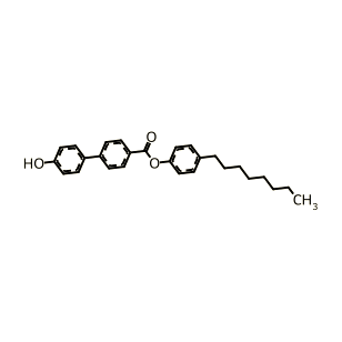 CCCCCCCCc1ccc(OC(=O)c2ccc(-c3ccc(O)cc3)cc2)cc1